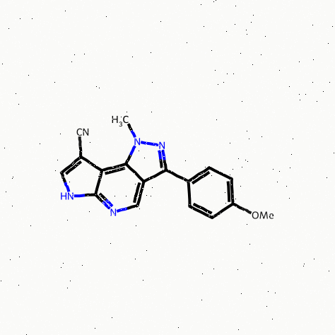 COc1ccc(-c2nn(C)c3c2cnc2[nH]cc(C#N)c23)cc1